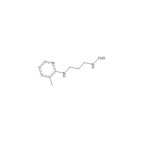 Cc1c[c]cnc1NCCCNC=O